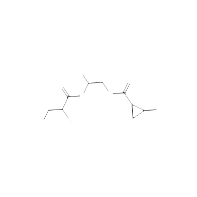 CC(COC(=O)C1CC1C)NC(=O)C(N)CC(=O)O